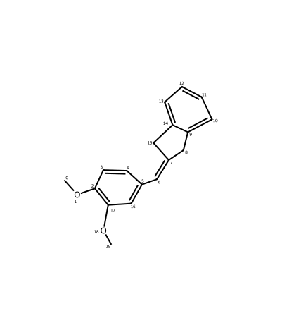 COc1ccc(C=C2Cc3ccccc3C2)cc1OC